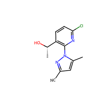 Cc1cc(C#N)nn1-c1nc(Cl)ccc1[C@H](C)O